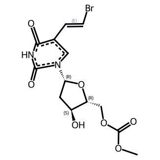 COC(=O)OC[C@H]1O[C@@H](n2cc(/C=C/Br)c(=O)[nH]c2=O)C[C@@H]1O